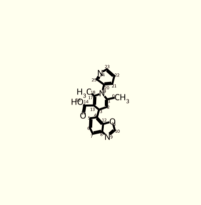 CC1=CC(c2cccc3ncoc23)C(C(=O)O)=C(C)N1c1cccnc1